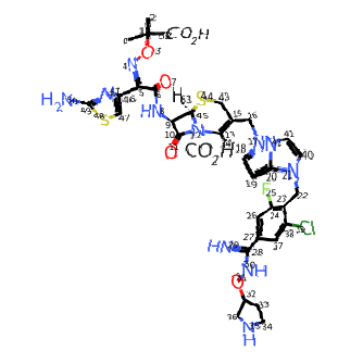 CC(C)(O/N=C(\C(=O)N[C@@H]1C(=O)N2C(C(=O)O)=C(C[n+]3ccc4n(Cc5c(F)cc(C(=N)NOC6CCNC6)cc5Cl)ccn43)CS[C@H]12)c1csc(N)n1)C(=O)O